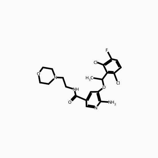 CC(Oc1cc(C(=O)NCCN2CCOCC2)cnc1N)c1c(Cl)ccc(F)c1Cl